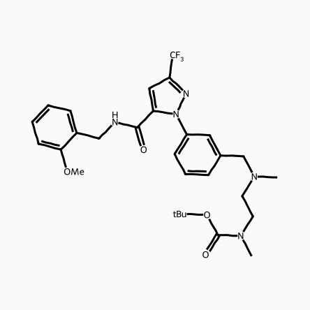 COc1ccccc1CNC(=O)c1cc(C(F)(F)F)nn1-c1cccc(CN(C)CCN(C)C(=O)OC(C)(C)C)c1